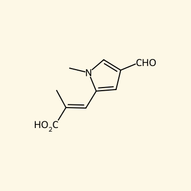 CC(=Cc1cc(C=O)cn1C)C(=O)O